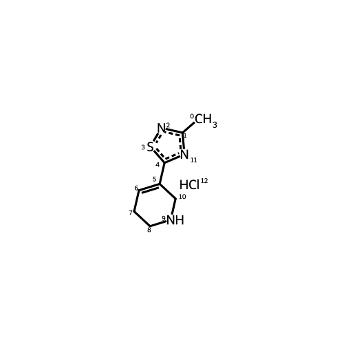 Cc1nsc(C2=CCCNC2)n1.Cl